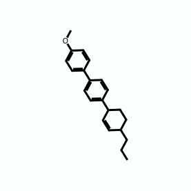 CCCC1C=CC(c2ccc(-c3ccc(OC)cc3)cc2)CC1